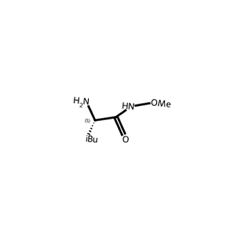 CCC(C)[C@H](N)C(=O)NOC